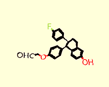 O=CCOc1ccc([C@@H]2c3ccc(O)cc3CC[C@@H]2c2ccc(F)cc2)cc1